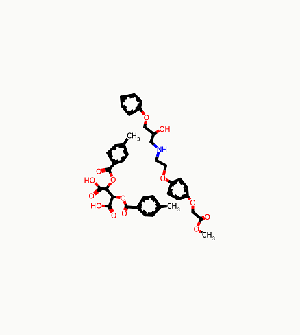 COC(=O)COc1ccc(OCCNCC(O)COc2ccccc2)cc1.Cc1ccc(C(=O)OC(C(=O)O)C(OC(=O)c2ccc(C)cc2)C(=O)O)cc1